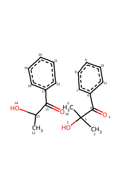 CC(C)(O)C(=O)c1ccccc1.CC(O)C(=O)c1ccccc1